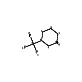 FC(F)(F)C1CCC[N]C1